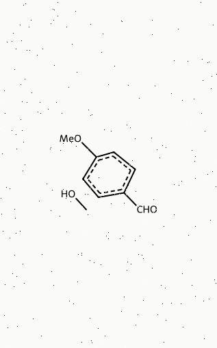 CO.COc1ccc(C=O)cc1